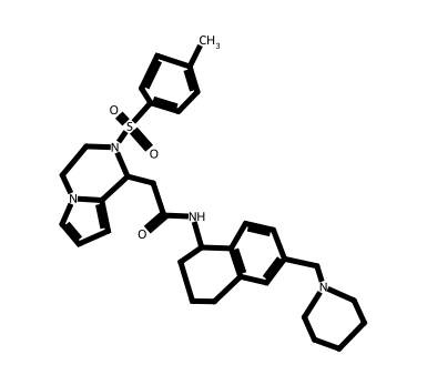 Cc1ccc(S(=O)(=O)N2CCn3cccc3C2CC(=O)NC2CCCc3cc(CN4CCCCC4)ccc32)cc1